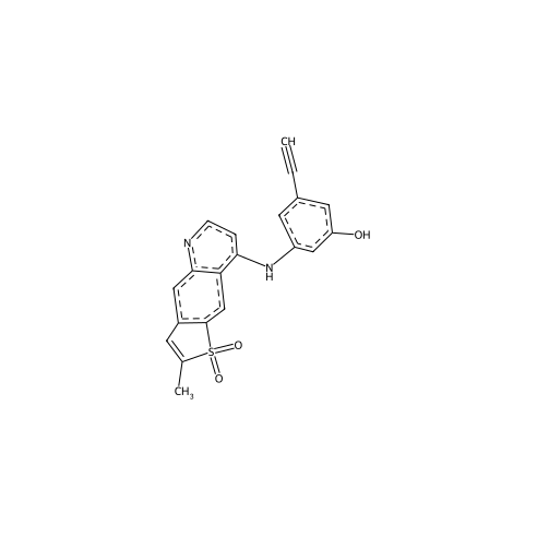 C#Cc1cc(O)cc(Nc2ccnc3cc4c(cc23)S(=O)(=O)C(C)=C4)c1